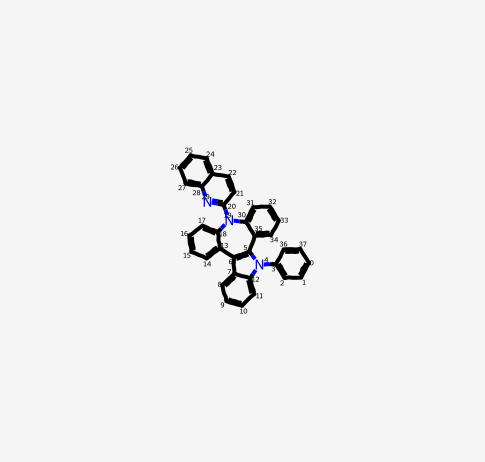 c1ccc(-n2c3c(c4ccccc42)-c2ccccc2N(c2ccc4ccccc4n2)c2ccccc2-3)cc1